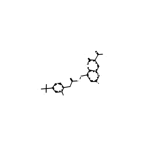 O=C(Cc1ccc(C(F)(F)F)cc1F)NCc1cc(Cl)cc2cc(C(=O)O)c(=O)[nH]c12